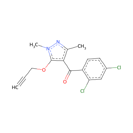 C#CCOc1c(C(=O)c2ccc(Cl)cc2Cl)c(C)nn1C